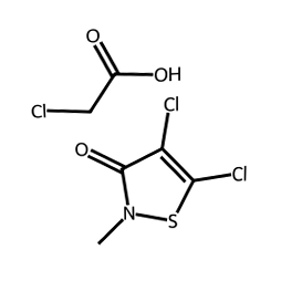 Cn1sc(Cl)c(Cl)c1=O.O=C(O)CCl